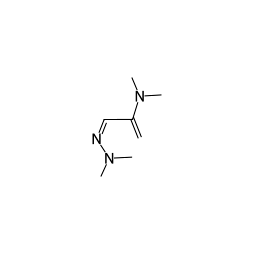 C=C(/C=N\N(C)C)N(C)C